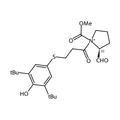 COC(=O)[N+]1(C(=O)CCSc2cc(C(C)(C)C)c(O)c(C(C)(C)C)c2)CCC[C@H]1[C]=O